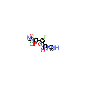 C[C@@H]1CN(c2cc(-c3cc(F)cc(-c4ccc(-n5ccn(C)c5=O)c(Cl)c4)c3O)cc(=O)n2C)CCN1